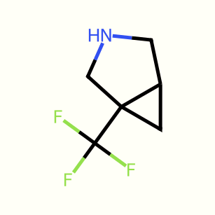 FC(F)(F)C12CNCC1C2